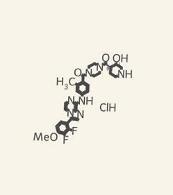 COc1ccc(-c2cnc3c(Nc4ccc(C(=O)N5CCN(C(=O)[C@@H]6CCNC[C@H]6O)CC5)c(C)c4)nccn23)c(F)c1F.Cl